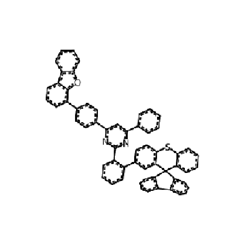 c1ccc(-c2cc(-c3ccc(-c4cccc5c4oc4ccccc45)cc3)nc(-c3ccccc3-c3ccc4c(c3)C3(c5ccccc5S4)c4ccccc4-c4ccccc43)n2)cc1